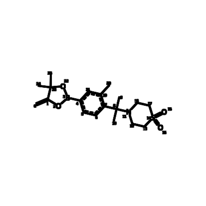 C=C1OB(c2ccc(C(C)(C)N3CCS(=O)(=O)CC3)c(C)c2)OC1(C)C